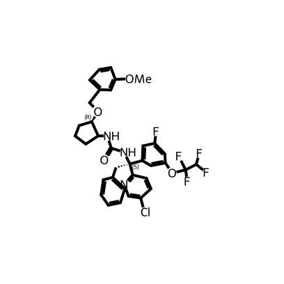 COc1cccc(CO[C@@H]2CCCC2NC(=O)N[C@@](Cc2ccccc2)(c2cc(F)cc(OC(F)(F)C(F)F)c2)c2ccc(Cl)cn2)c1